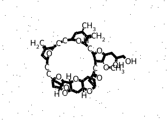 C=C1CC2CC[C@@]34C[C@H]5OC6C(O3)[C@H]3OC(CCC3O[C@H]6C5O4)CC(=O)CC3C(C[C@H]4OC(CCC1O2)C[C@@H](C)C4=C)OC(CC(O)CO)[C@@H]3OC